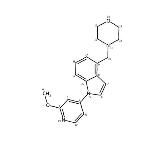 COc1cc(-n2ccc3c(CN4CCOCC4)cccc32)ccn1